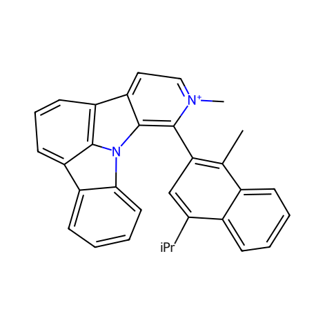 Cc1c(-c2c3c(cc[n+]2C)c2cccc4c5ccccc5n3c42)cc(C(C)C)c2ccccc12